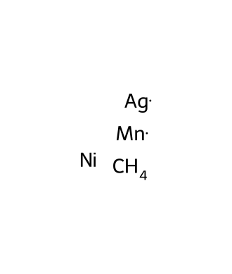 C.[Ag].[Mn].[Ni]